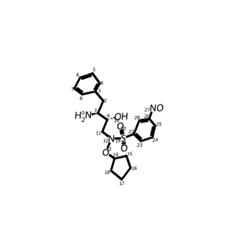 N[C@@H](Cc1ccccc1)[C@H](O)CN(OC1CCCC1)S(=O)(=O)c1cccc(N=O)c1